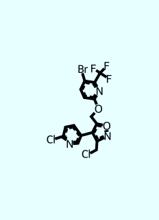 FC(F)(F)c1nc(OCc2onc(CCl)c2-c2ccc(Cl)nc2)ccc1Br